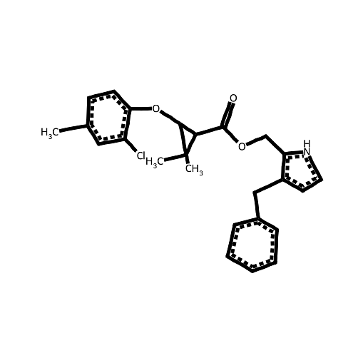 Cc1ccc(OC2C(C(=O)OCc3[nH]ccc3Cc3ccccc3)C2(C)C)c(Cl)c1